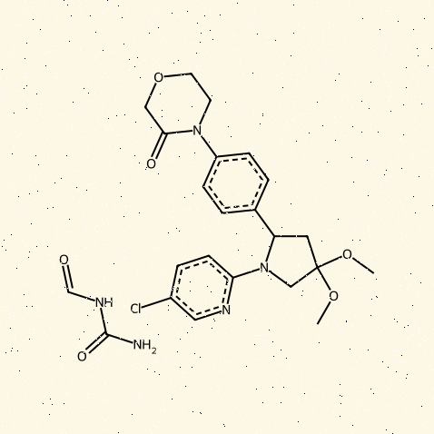 COC1(OC)CC(c2ccc(N3CCOCC3=O)cc2)N(c2ccc(Cl)cn2)C1.NC(=O)NC=O